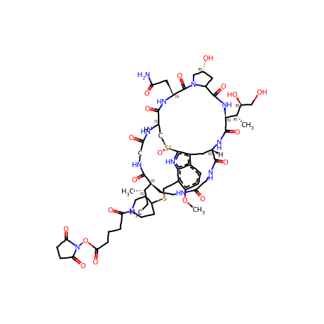 CC[C@H](C)[C@@H]1CCNC(=O)CNC(=O)[C@@H]2Cc3c([nH]c4c(CSC5CCN(C(=O)CCCC(=O)ON6C(=O)CCC6=O)CC5)c(OC)ccc34)[S+]([O-])C[C@@H](NC(=O)CNC1=O)C(=O)N[C@@H](CC(N)=O)C(=O)N1C[C@H](O)CC1C(=O)N[C@@H]([C@@H](C)[C@@H](O)CO)C(=O)N2